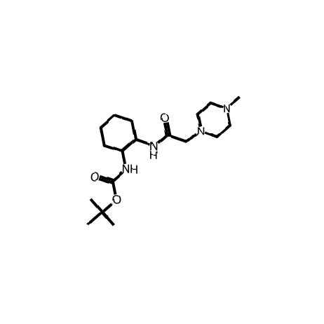 CN1CCN(CC(=O)NC2CCCCC2NC(=O)OC(C)(C)C)CC1